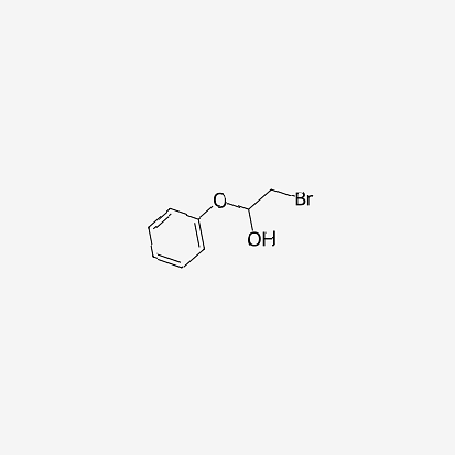 OC(CBr)Oc1ccccc1